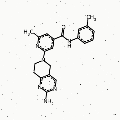 Cc1cccc(NC(=O)c2cc(C)nc(N3CCc4nc(N)ncc4C3)c2)c1